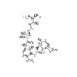 Cc1ccc(NC(=O)[C@H](CC/C=C/C(=O)N(C)C)NC(=O)O)c(=O)n1Cc1nc2c(F)cnc(CC(C)C)c2[nH]1